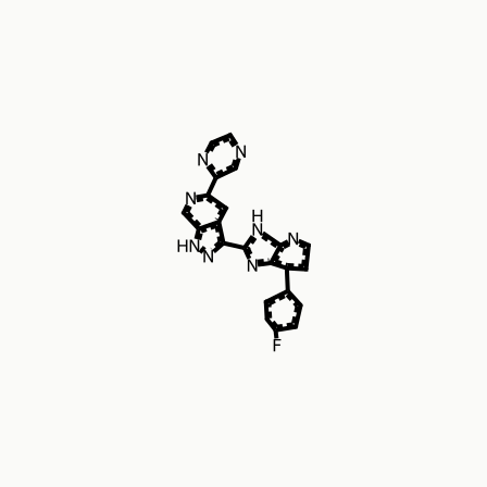 Fc1ccc(-c2ccnc3[nH]c(-c4n[nH]c5cnc(-c6cnccn6)cc45)nc23)cc1